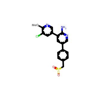 COc1ncc(-c2cc(-c3ccc(C[SH](=O)=O)cc3)cnc2N)cc1Cl